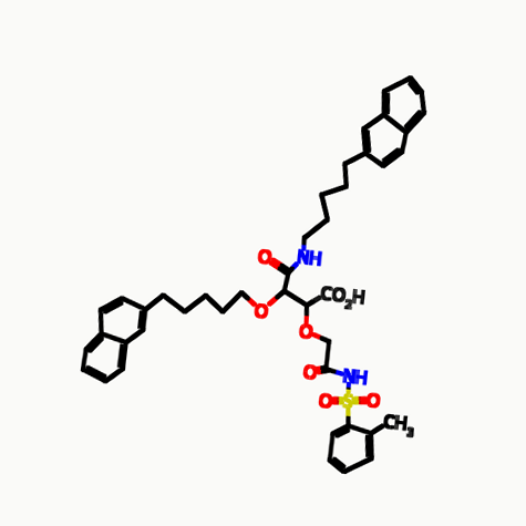 Cc1ccccc1S(=O)(=O)NC(=O)COC(C(=O)O)C(OCCCCCc1ccc2ccccc2c1)C(=O)NCCCCCc1ccc2ccccc2c1